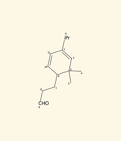 CC(C)C1=CC(C)(C)C(CCC=O)C=C1